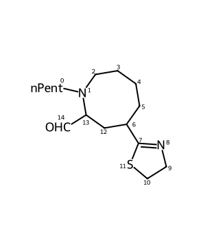 CCCCCN1CCCCC(C2=NCCS2)CC1C=O